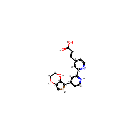 O=C(O)/C=C/c1ccnc(-c2cc(-c3scc4c3OCCO4)ccn2)c1